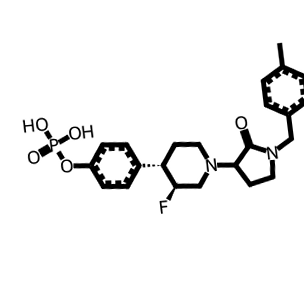 Cc1ccc(CN2CCC(N3CC[C@@H](c4ccc(OP(=O)(O)O)cc4)[C@H](F)C3)C2=O)cc1